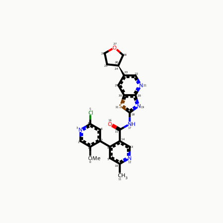 COc1cnc(Cl)cc1-c1cc(C)ncc1C(=O)Nc1nc2ncc([C@H]3CCOC3)cc2s1